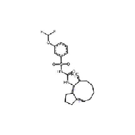 C=C1CCCC/C=C2/CCC/C2=C/1NC(=O)NS(=O)(=O)c1cccc(OC(F)F)c1